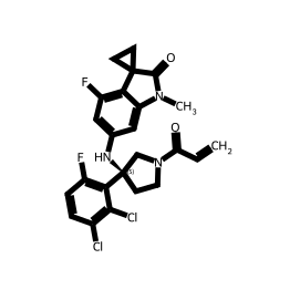 C=CC(=O)N1CC[C@](Nc2cc(F)c3c(c2)N(C)C(=O)C32CC2)(c2c(F)ccc(Cl)c2Cl)C1